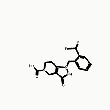 O=C(O)N1CCc2c(c(=O)[nH]n2Cc2ccccc2C(F)F)C1